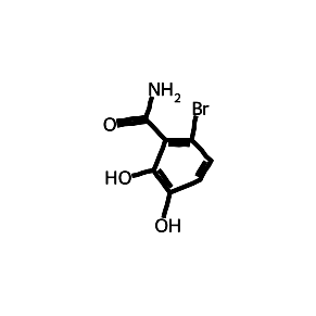 NC(=O)c1c(Br)ccc(O)c1O